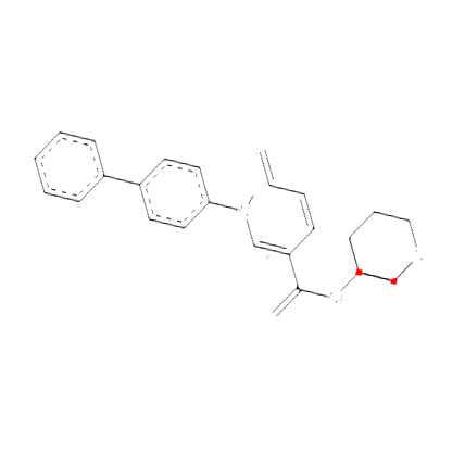 C=C/C=C\C(=C/N(C)c1ccc(-c2ccccc2)cc1)C(=C)NC1CN2CCC1CC2